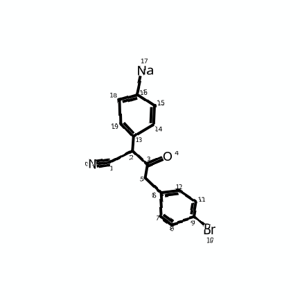 N#CC(C(=O)Cc1ccc(Br)cc1)c1cc[c]([Na])cc1